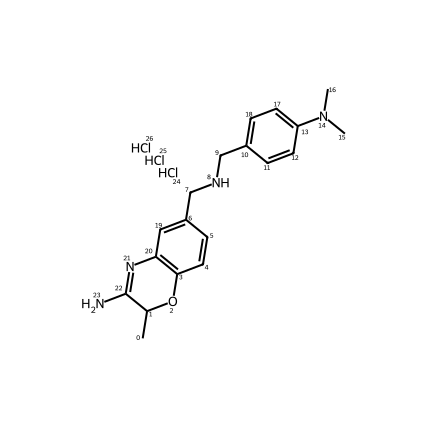 CC1Oc2ccc(CNCc3ccc(N(C)C)cc3)cc2N=C1N.Cl.Cl.Cl